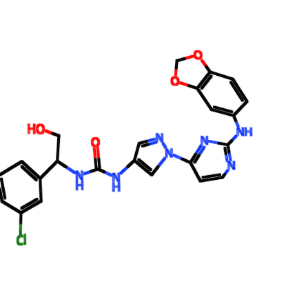 O=C(Nc1cnn(-c2ccnc(Nc3ccc4c(c3)OCO4)n2)c1)NC(CO)c1cccc(Cl)c1